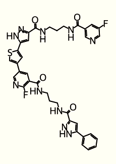 O=C(NCCCNC(=O)c1cc(-c2cc(-c3cnc(F)c(C(=O)NCCCNC(=O)c4cc(-c5ccccc5)[nH]n4)c3)cs2)[nH]n1)c1cncc(F)c1